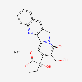 CC[C@@](O)(C(=O)[O-])c1cc2n(c(=O)c1CO)Cc1cc3ccccc3nc1-2.[Na+]